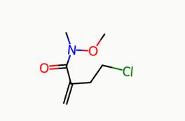 C=C(CCCl)C(=O)N(C)OC